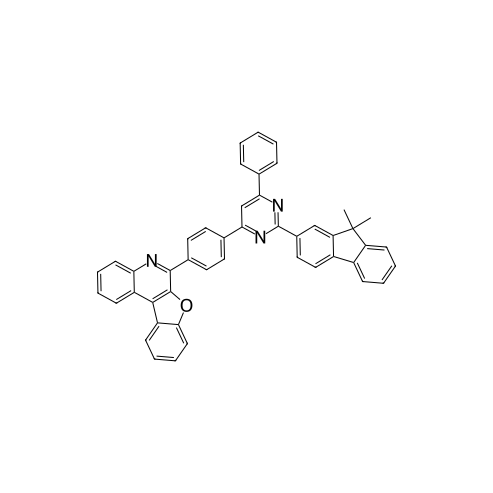 CC1(C)c2ccccc2-c2ccc(-c3nc(-c4ccccc4)cc(-c4ccc(-c5nc6ccccc6c6c5oc5ccccc56)cc4)n3)cc21